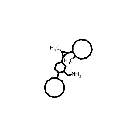 CC1CCCCCCCCCC1C1C(C2CCC(C3CCCCCCCCCC3)C(CN)C2)[C@H]1C